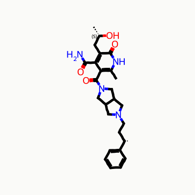 Cc1[nH]c(=O)c(C[C@H](C)O)c(C(N)=O)c1C(=O)N1CC2CN(CC[CH]c3ccccc3)CC2C1